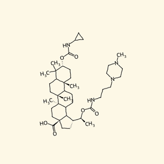 C[C@H](OC(=O)NCCCN1CCN(C)CC1)[C@@H]1CC[C@]2(C(=O)O)CC[C@]3(C)C(CCC4[C@@]5(C)CC[C@@H](OC(=O)NC6CC6)C(C)(C)C5CC[C@]43C)C12